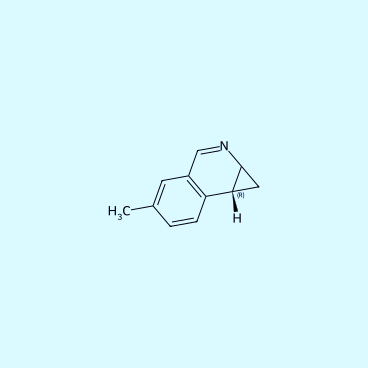 Cc1ccc2c(c1)C=NC1C[C@H]21